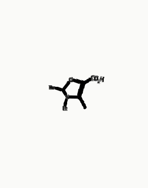 CCN1C(C)=C(C(=O)O)OC1Br